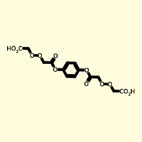 O=C(O)COOCC(=O)Oc1ccc(OC(=O)COOCC(=O)O)cc1